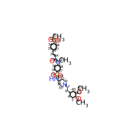 COc1ccc(CCN2CCC(NS(=O)(=O)c3ccc(N(C)C(=O)/C=C/c4ccc(S(C)(=O)=O)cc4)cc3)CC2)cc1OC